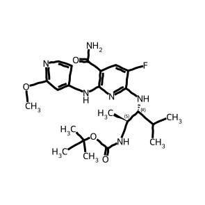 COc1cc(Nc2nc(N[C@H](C(C)C)[C@H](C)NC(=O)OC(C)(C)C)c(F)cc2C(N)=O)ccn1